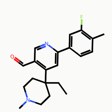 CCC1(c2cc(-c3ccc(C)c(F)c3)ncc2C=O)CCN(C)CC1